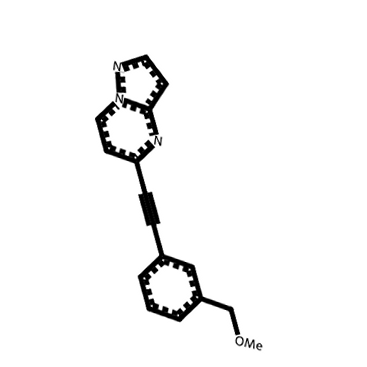 COCc1cccc(C#Cc2ccn3nccc3n2)c1